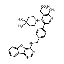 Cc1ncc(-c2ccc(CNc3ncnc4c3oc3ccccc34)cc2)c(N2CCC(C)(C)CC2)c1CC(=O)O